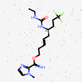 CCNC(=O)N[C@H](C/C=C/CCOC(=N)c1nccn1C)CCC(F)(F)F